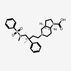 CN(C[C@@](C)(CCN1CC[C@H]2[C@H](CCN2C(=O)O)C1)c1ccccc1)S(=O)(=O)c1ccccc1